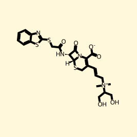 C[N+](C)(CC=CC1=C(C(=O)[O-])N2C(=O)[C@@H](NC(=O)CSc3nc4ccccc4s3)[C@H]2SC1)C(CO)CO